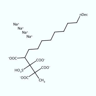 CCCCCCCCCCCCCCCCCCC(C(=O)[O-])C(C(=O)[O-])(C(C)(C(=O)[O-])C(=O)[O-])S(=O)(=O)O.[Na+].[Na+].[Na+].[Na+]